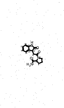 NC(=O)C1CCCN1C(=O)CC1C(=O)Nc2ccccc21